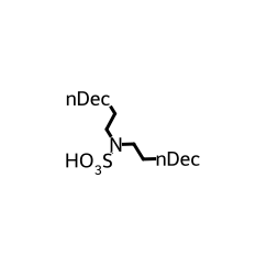 CCCCCCCCCCCCN(CCCCCCCCCCCC)S(=O)(=O)O